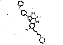 COc1cc2c(cc1OCCCN1CCOCC1)[nH]c(=O)c1c(N)n(-c3ccc(Oc4ccccc4)cc3)nc12